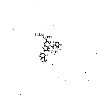 CCCCN(CCN)C(=O)CN1C[C@H](c2ccc3c(c2)OCO3)[C@@H](C(=O)O)[C@@H]1CCc1cccn1C